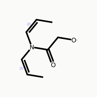 C/C=C\N(/C=C\C)C(=O)C[O]